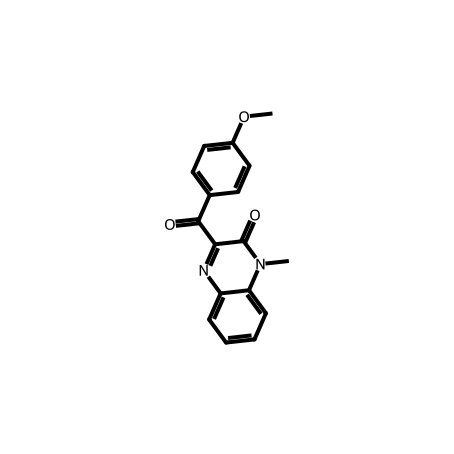 COc1ccc(C(=O)c2nc3ccccc3n(C)c2=O)cc1